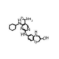 NC(=O)c1cnc(Nc2ccc3c(c2)NCC(O)CO3)nc1NC1CCCCC1